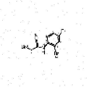 O=C(CBr)Nc1ccc(F)cc1Br